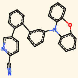 N#Cc1ccc(-c2ccccc2-c2cccc(N3c4ccccc4Oc4ccccc43)c2)cn1